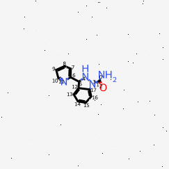 NC(=O)N1NC(c2ccccn2)c2ccccc21